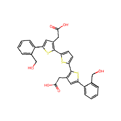 O=C(O)Cc1cc(-c2ccccc2CO)sc1-c1ccc(-c2sc(-c3ccccc3CO)cc2CC(=O)O)s1